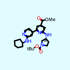 COC(=O)c1cc(N[C@@H]2CCN(C(=O)OC(C)(C)C)C2)nc(-c2ccnc(NC3CCCCC3)c2)c1